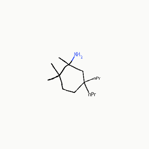 CCCC1(CCC)CCC(C)(C)C(C)(N)C1